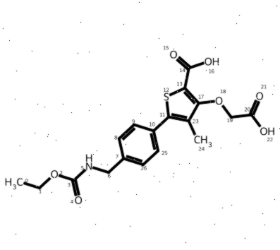 CCOC(=O)NCc1ccc(-c2sc(C(=O)O)c(OCC(=O)O)c2C)cc1